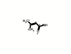 CC(C)=CC([NH])=O